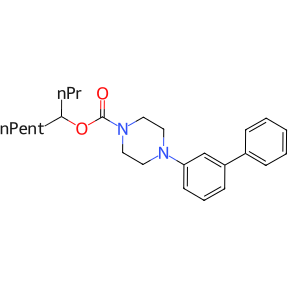 CCCCCC(CCC)OC(=O)N1CCN(c2cccc(-c3ccccc3)c2)CC1